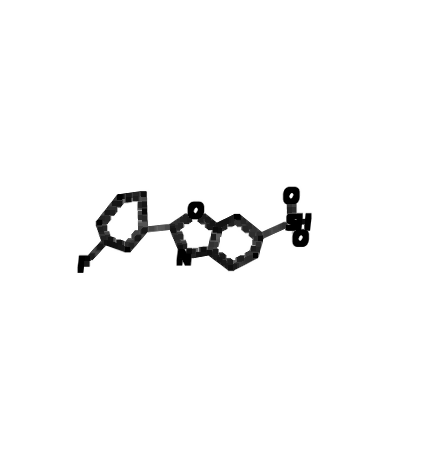 O=[SH](=O)c1ccc2nc(-c3cccc(F)c3)oc2c1